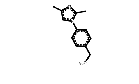 Cc1cn(-c2ccc(COCC(C)C)cc2)c(C)n1